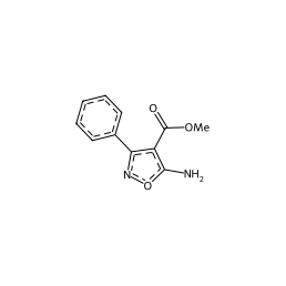 COC(=O)c1c(-c2ccccc2)noc1N